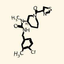 Cc1cc(CNC(=O)N(C)[C@@H]2CCCN(C(=O)c3cscn3)C2)ccc1Cl